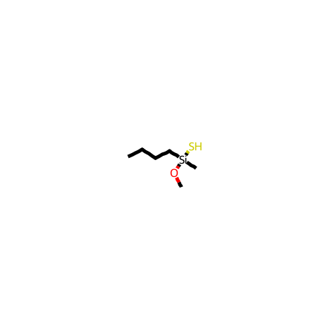 CCCC[Si](C)(S)OC